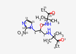 CCC(=O)C(C)(C)NCC(Cn1ccnc1[N+](=O)[O-])ONC(C)(C)C(=O)CC